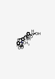 CCCc1nc2c(C(=O)NCCO)cccc2n1Cc1ccc2c(c1)COc1ccccc1/C2=C(/C)c1noc(=O)[nH]1